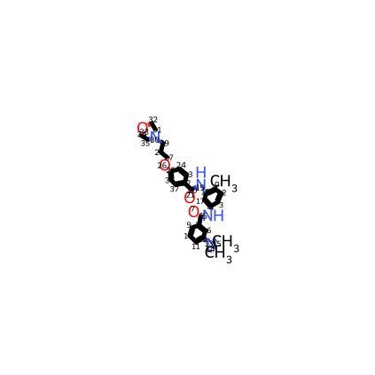 Cc1ccc(NC(=O)c2cccc(N(C)C)c2)cc1NC(=O)c1ccc(OCCCN2CCOCC2)cc1